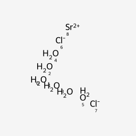 O.O.O.O.O.O.[Cl-].[Cl-].[Sr+2]